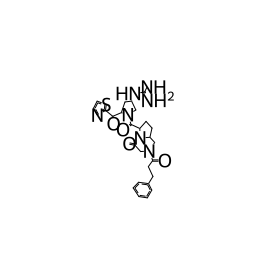 N=C(N)NC1CC(C(=O)c2nccs2)N(C(=O)C2CCC3CN(C(=O)CCc4ccccc4)CC(=O)N32)C1